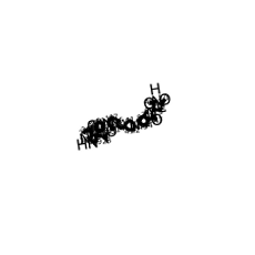 O=C1CCC(N2Cc3cc(N4CCC(CN5CCCN(c6cccc(C7(C8CC8)CNc8nccc(Cl)c87)c6)C5=O)CC4)ccc3C2=O)C(=O)N1